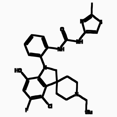 Cc1nc(NC(=O)Nc2ccccc2N2CC3(CCN(CC(C)(C)C)CC3)c3c(Cl)c(F)cc(O)c32)cs1